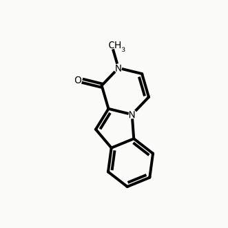 Cn1ccn2c(cc3ccccc32)c1=O